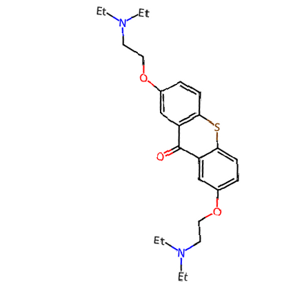 CCN(CC)CCOc1ccc2sc3ccc(OCCN(CC)CC)cc3c(=O)c2c1